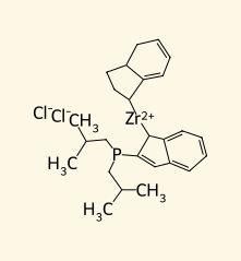 CC(C)CP(CC(C)C)C1=Cc2ccccc2[CH]1[Zr+2][CH]1CCC2CC=CC=C21.[Cl-].[Cl-]